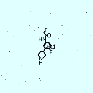 Cl.O=C(CF)Nc1ccc(F)c(C2CCNCC2)c1